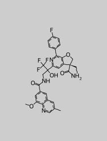 CC[C@]1(C(N)=O)COc2c1cc(C(O)(CNC(=O)c1cc(OC)c3ncc(C)cc3c1)C(F)(F)F)nc2-c1ccc(F)cc1